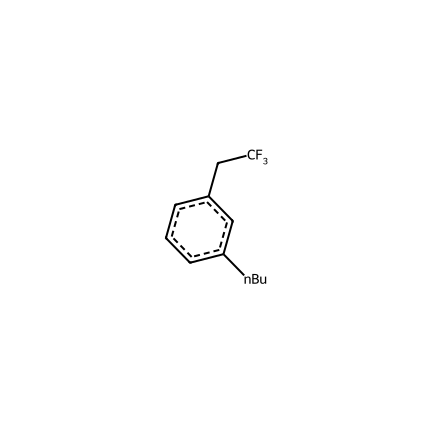 [CH2]CCCc1cccc(CC(F)(F)F)c1